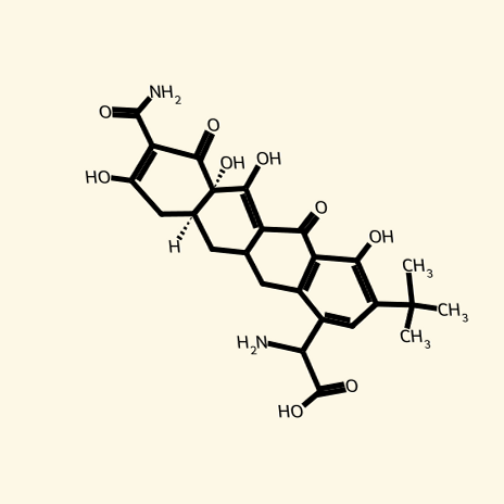 CC(C)(C)c1cc(C(N)C(=O)O)c2c(c1O)C(=O)C1=C(O)[C@]3(O)C(=O)C(C(N)=O)=C(O)C[C@@H]3CC1C2